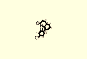 O=c1ccc2cccc(-c3ccc(Cl)cc3)c2[nH]1